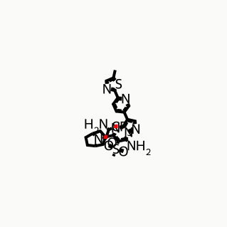 Cc1cnc(-c2ccc(-c3cnn4c(N)c(S(C)(=O)=O)c(C5CC6CCC(C5)N6C(=O)C(N)C(F)(F)F)nc34)cn2)s1